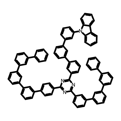 c1ccc(-c2cccc(-c3cccc(-c4cccc(-c5ccc(-c6nc(-c7cccc(-c8cccc(-c9cccc(-c%10ccccc%10)c9)c8)c7)nc(-c7cccc(-c8cccc(-c9cccc(-n%10c%11ccccc%11c%11ccccc%11%10)c9)c8)c7)n6)cc5)c4)c3)c2)cc1